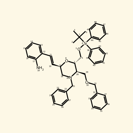 CC(C)(C)[Si](OC[C@H]1O[C@H](C=Cc2ccccc2N)CN(Cc2ccccc2)[C@@H]1COCc1ccccc1)(c1ccccc1)c1ccccc1